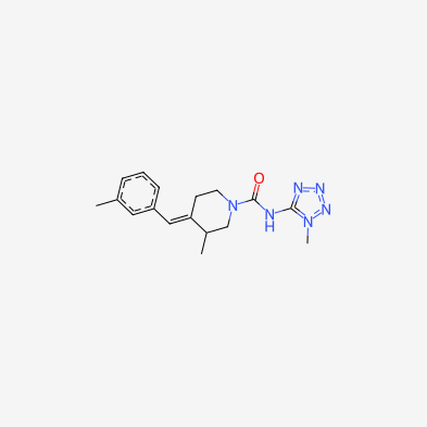 Cc1cccc(/C=C2\CCN(C(=O)Nc3nnnn3C)CC2C)c1